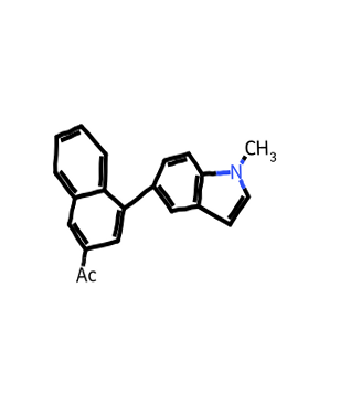 CC(=O)c1cc(-c2ccc3c(ccn3C)c2)c2ccccc2c1